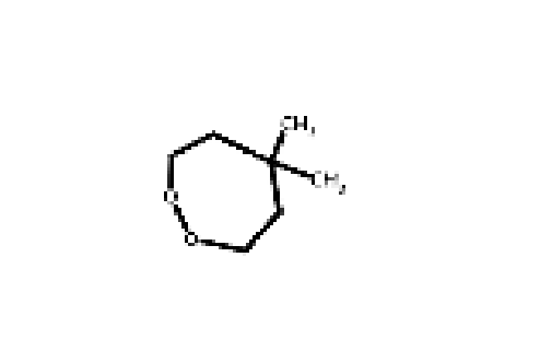 CC1(C)CCOOCC1